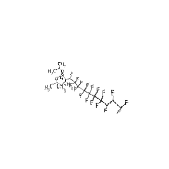 CC(C)O[SiH](OC(C)C)C(C)C(F)C(F)(F)C(F)(F)C(F)(F)C(F)(F)C(F)(F)C(F)(F)C(F)C(F)C(F)F